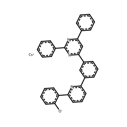 [Cs+].[O-]c1ccccc1-c1cccc(-c2cccc(-c3cc(-c4ccccc4)nc(-c4ccccc4)n3)c2)n1